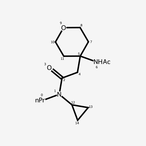 CCCN(C(=O)CC1(NC(C)=O)CCOCC1)C1CC1